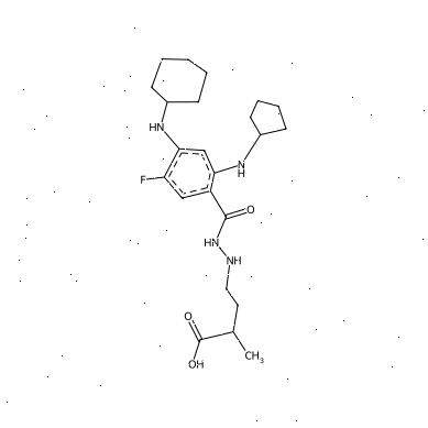 CC(CCNNC(=O)c1cc(F)c(NC2CCCCC2)cc1NC1CCCC1)C(=O)O